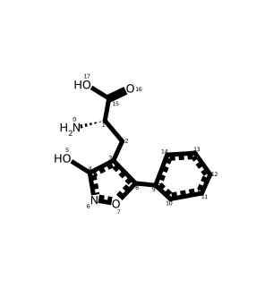 N[C@@H](Cc1c(O)noc1-c1ccccc1)C(=O)O